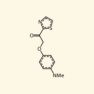 CNc1ccc(OCC(=O)c2nccs2)cc1